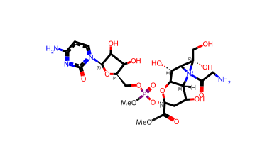 COC(=O)[C@]1(OP(=O)(OC)OC[C@H]2O[C@@H](n3ccc(N)nc3=O)C(O)C2O)CC(O)[C@@H]2C(O1)[C@H](O)C1[C@@](O)(CO)[N+]12C(=O)CN